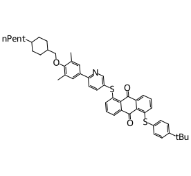 CCCCCC1CCC(COc2c(C)cc(-c3ccc(Sc4cccc5c4C(=O)c4cccc(Sc6ccc(C(C)(C)C)cc6)c4C5=O)cn3)cc2C)CC1